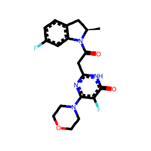 C[C@@H]1Cc2ccc(F)cc2N1C(=O)Cc1nc(N2CCOCC2)c(F)c(=O)[nH]1